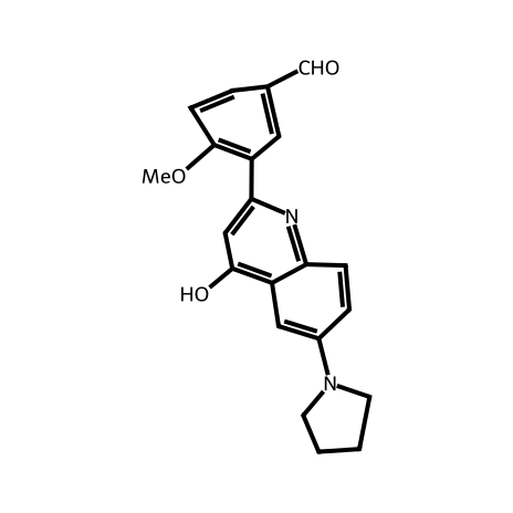 COc1ccc(C=O)cc1-c1cc(O)c2cc(N3CCCC3)ccc2n1